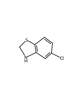 Clc1ccc2c(c1)NCS2